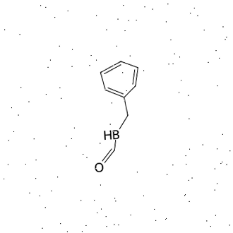 O=CBCc1ccccc1